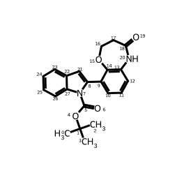 CC(C)(C)OC(=O)n1c(-c2cccc3c2OCCC(=O)N3)cc2ccccc21